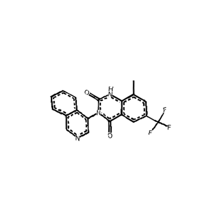 Cc1cc(C(F)(F)F)cc2c(=O)n(-c3cncc4ccccc34)c(=O)[nH]c12